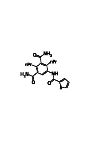 CCCc1c(NC(=O)c2cccs2)cc(C(N)=O)c(CCC)c1C(N)=O